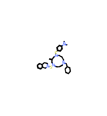 C=C1CN(Sc2ccc(N(C)C)cc2)CCCN(CC2CCCCC2)CCCN(SN2CCc3ccccc3C2)C1